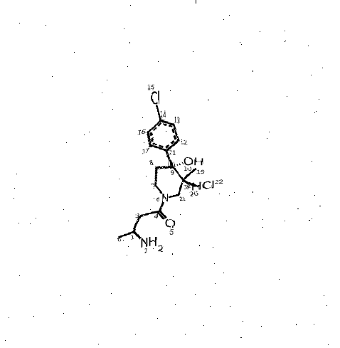 CC(N)CC(=O)N1CC[C@@](O)(c2ccc(Cl)cc2)C(C)(C)C1.Cl